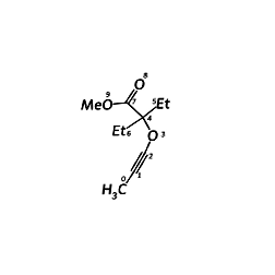 CC#COC(CC)(CC)C(=O)OC